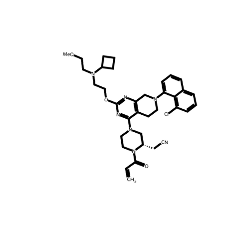 C=CC(=O)N1CCN(c2nc(OCCN(CCOC)C3CCC3)nc3c2CCN(c2cccc4cccc(Cl)c24)C3)C[C@@H]1CC#N